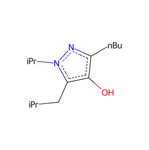 CCCCc1nn(C(C)C)c(CC(C)C)c1O